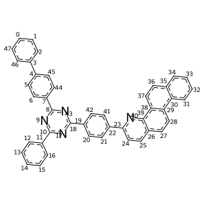 c1ccc(-c2ccc(-c3nc(-c4ccccc4)nc(-c4ccc(-c5ccc6ccc7c8ccccc8ccc7c6n5)cc4)n3)cc2)cc1